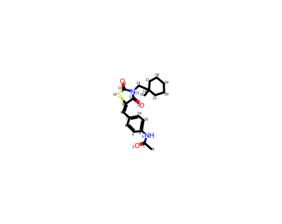 CC(=O)Nc1ccc(C=C2SC(=O)N(CC3(C)CCCCC3)C2=O)cc1